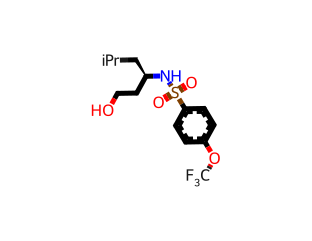 CC(C)C[C@H](CCO)NS(=O)(=O)c1ccc(OC(F)(F)F)cc1